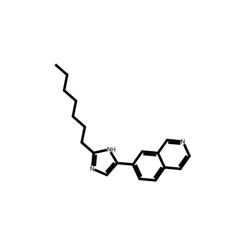 CCCCCCCc1ncc(-c2ccc3ccncc3c2)[nH]1